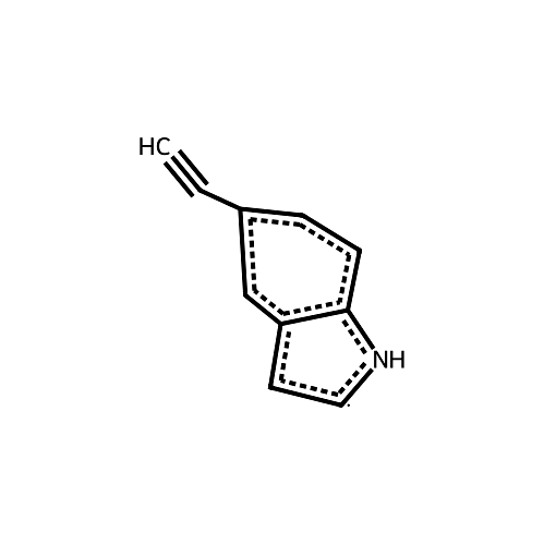 C#Cc1ccc2[nH][c]cc2c1